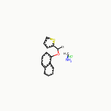 CCC(Oc1cccc2ccccc12)c1cccs1.CN.Cl